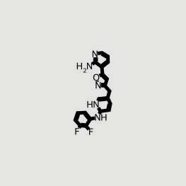 Nc1ncccc1-c1cc(CC2=CNC(Nc3cccc(F)c3F)C=C2)no1